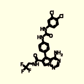 Nc1ncnn2cc(C(=O)NCC(F)(F)F)c(-c3ccc(NC(=O)Nc4ccc(Cl)c(Cl)c4)cc3)c12